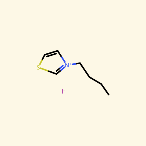 CCCC[n+]1ccsc1.[I-]